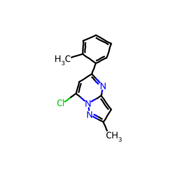 Cc1cc2nc(-c3ccccc3C)cc(Cl)n2n1